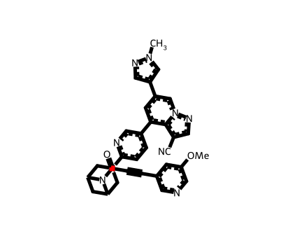 COc1cncc(C#CC(=O)N2C3CC2CN(c2ccc(-c4cc(-c5cnn(C)c5)cn5ncc(C#N)c45)cn2)C3)c1